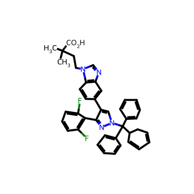 CC(C)(CCn1cnc2cc(-c3cn(C(c4ccccc4)(c4ccccc4)C4C=CC=CC4)nc3-c3c(F)cccc3F)ccc21)C(=O)O